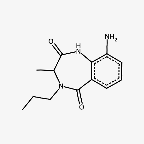 CCCN1C(=O)c2cccc(N)c2NC(=O)C1C